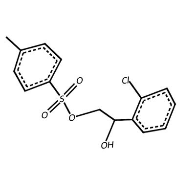 Cc1ccc(S(=O)(=O)OCC(O)c2ccccc2Cl)cc1